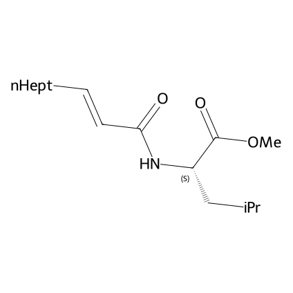 CCCCCCCC=CC(=O)N[C@@H](CC(C)C)C(=O)OC